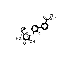 CNC(=O)c1cccc(-c2cccc(O[C@H]3O[C@H](CO)[C@@H](O)[C@H](O)[C@@H]3O)c2Cl)c1